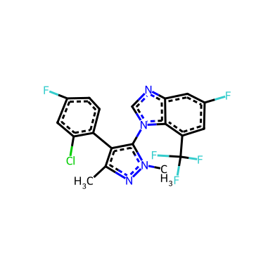 Cc1nn(C)c(-n2cnc3cc(F)cc(C(F)(F)F)c32)c1-c1ccc(F)cc1Cl